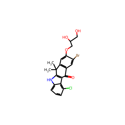 CC1(C)c2cc(OCC(O)CO)c(Br)cc2C(=O)c2c1[nH]c1cccc(Cl)c21